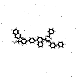 CC1(C)c2ccc(-c3ccc(-c4ccc(-c5cc(-c6cccc(-c7ccccc7)c6)nc(-c6ccccc6)n5)c5ccccc45)cc3)cc2-c2cc3ccccc3cc21